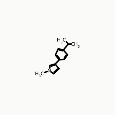 CC(C)c1ccc(-c2ccn(C)c2)cc1